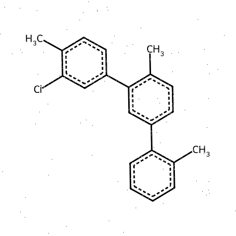 Cc1ccc(-c2cc(-c3ccccc3C)ccc2C)cc1Cl